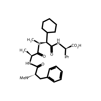 CN[C@@H](Cc1ccccc1)C(=O)N[C@@H](C)C(=O)N(C)[C@H](C(=O)N[C@@H](C(=O)O)C(C)C)C1CCCCC1